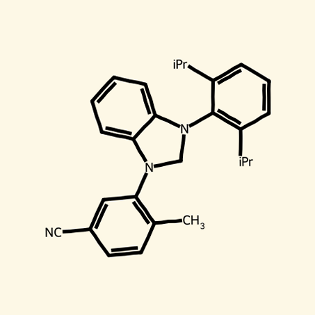 Cc1ccc(C#N)cc1N1CN(c2c(C(C)C)cccc2C(C)C)c2ccccc21